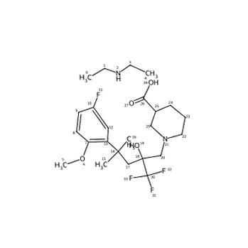 CCNCC.COc1ccc(F)cc1C(C)(C)CC(O)(CN1CCCC(C(=O)O)C1)C(F)(F)F